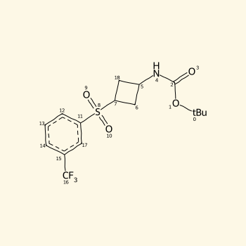 CC(C)(C)OC(=O)NC1CC(S(=O)(=O)c2cccc(C(F)(F)F)c2)C1